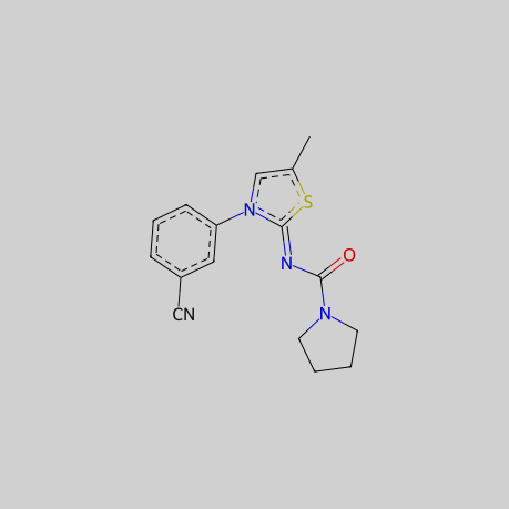 Cc1cn(-c2cccc(C#N)c2)c(=NC(=O)N2CCCC2)s1